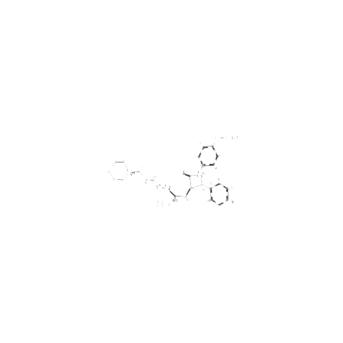 COc1ccc(N2C(=O)C(=CC(C)=NOCCCN3CCCCC3)C2c2ccccc2)cc1